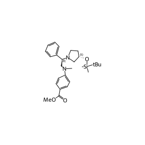 COC(=O)c1ccc(N(C)C[C@@H](c2ccccc2)N2CC[C@H](O[Si](C)(C)C(C)(C)C)C2)cc1